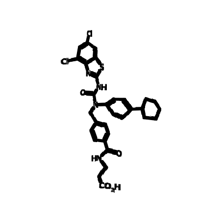 O=C(O)CCNC(=O)c1ccc(CN(C(=O)Nc2nc3c(Cl)cc(Cl)cc3s2)c2ccc(C3CCCCC3)cc2)cc1